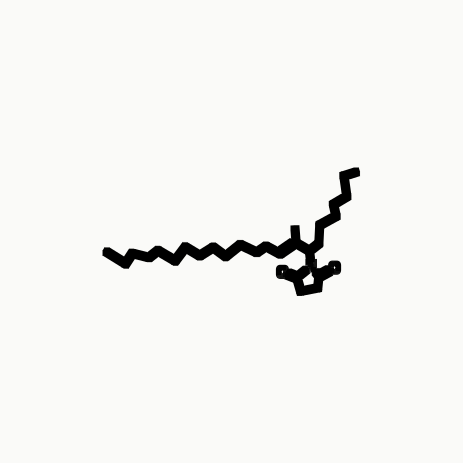 CCCCCCCCCCCCCC=C(C)C(CCCCCCC)N1C(=O)CCC1=O